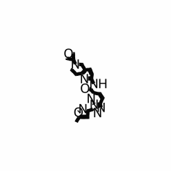 Cc1cc(-c2nnc3ccc(C(=O)Nc4ccc5c(n4)CCN(C4COC4)C5)nn23)no1